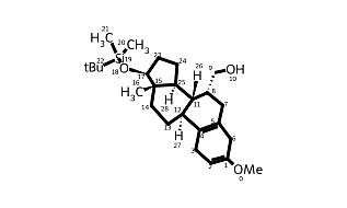 COC1=CCC2=C(C1)C[C@@H](CO)[C@@H]1[C@@H]2CC[C@]2(C)[C@@H](O[Si](C)(C)C(C)(C)C)CC[C@@H]12